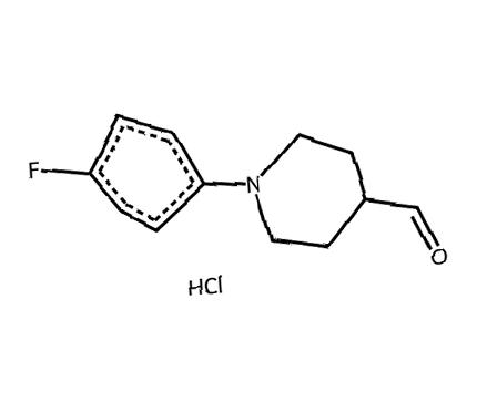 Cl.O=CC1CCN(c2ccc(F)cc2)CC1